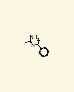 C/C(N)=N/C(C)c1ccccc1